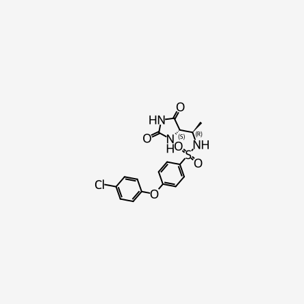 C[C@@H](NS(=O)(=O)c1ccc(Oc2ccc(Cl)cc2)cc1)[C@@H]1NC(=O)NC1=O